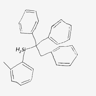 Cc1ccccc1[SiH2]C(Cc1ccccc1)(c1ccccc1)c1ccccc1